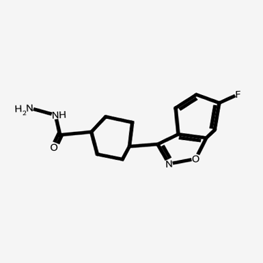 NNC(=O)C1CCC(c2noc3cc(F)ccc23)CC1